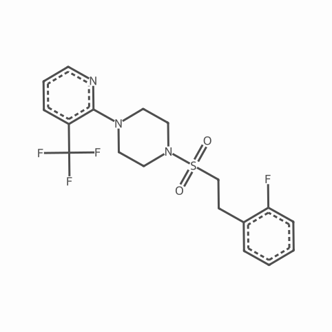 O=S(=O)(CCc1ccccc1F)N1CCN(c2ncccc2C(F)(F)F)CC1